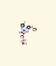 CC(C)(C)OC(=O)n1cc(-c2c[nH]/c(=N\c3ccc(Oc4ccon4)cc3)n(Cc3ccc(Cl)cc3)c2=O)cn1